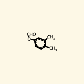 Cc1ccc(OC=O)cc1C